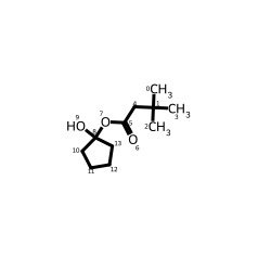 CC(C)(C)CC(=O)OC1(O)CCCC1